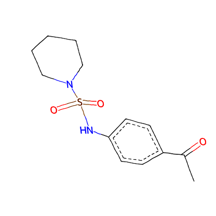 CC(=O)c1ccc(NS(=O)(=O)N2CCCCC2)cc1